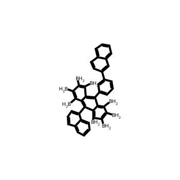 Bc1c(B)c(B)c2c(-c3cccc4ccccc34)c3c(B)c(B)c(B)c(B)c3c(-c3cccc(-c4ccc5ccccc5c4)c3)c2c1B